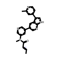 C/C=C/C(=O)N(C)c1cncc(-c2cnc3[nH]cc(-c4ccnc(C)c4)c3c2)c1